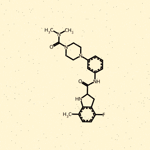 Cc1ccc(F)c2c1NC(C(=O)Nc1cccc(N3CCN(C(=O)N(C)C)CC3)c1)C2